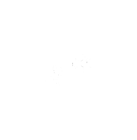 CC(CCC(=O)Oc1c(F)c(F)c(F)c(F)c1F)C[C@@H]1OC(C)(C)OC1=O